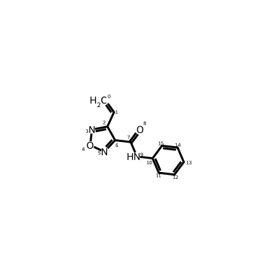 C=Cc1nonc1C(=O)Nc1ccccc1